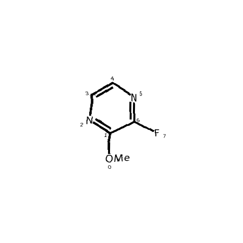 COc1n[c]cnc1F